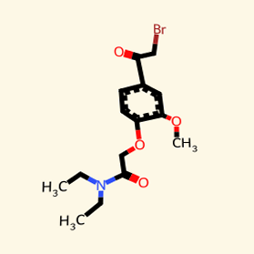 CCN(CC)C(=O)COc1ccc(C(=O)CBr)cc1OC